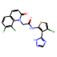 O=C(Cn1c(=O)ccc2ccc(F)c(F)c21)Nc1scc(Br)c1-c1ncn[nH]1